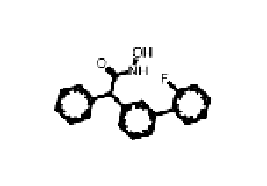 O=C(NO)C(c1ccccc1)c1cccc(-c2ccccc2F)c1